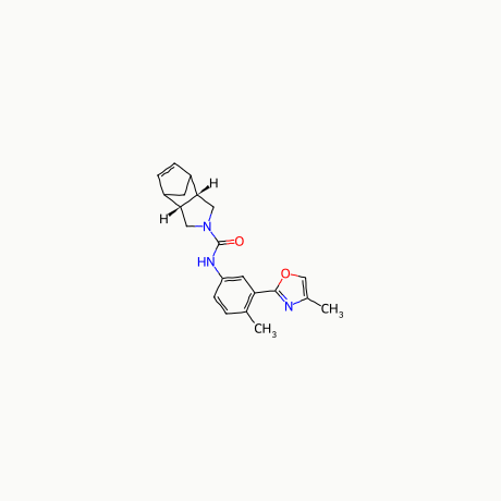 Cc1coc(-c2cc(NC(=O)N3C[C@@H]4C5C=CC(C5)[C@@H]4C3)ccc2C)n1